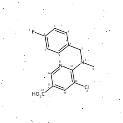 CN(Cc1ccc(F)cc1)c1ncc(C(=O)O)cc1Cl